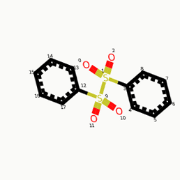 O=S(=O)(c1ccccc1)S(=O)(=O)c1ccccc1